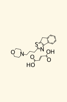 O=C(O)C=CC(=O)O.c1ccc2c(c1)Cc1sc(CCCN3CCOCC3)nc1-2